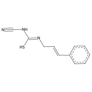 N#CN/C(S)=N/C/C=C/c1ccccc1